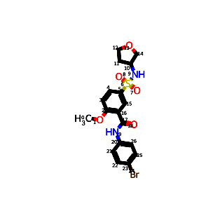 COc1ccc(S(=O)(=O)NC2CCOC2)cc1C(=O)Nc1ccc(Br)cc1